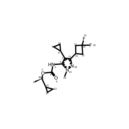 C[C@@H](OC(=O)Nc1c(C2CC2)c(C2CC(F)(F)C2)nn1C)C1CC1